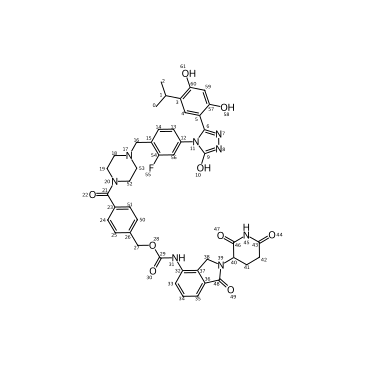 CC(C)c1cc(-c2nnc(O)n2-c2ccc(CN3CCN(C(=O)c4ccc(COC(=O)Nc5cccc6c5CN(C5CCC(=O)NC5=O)C6=O)cc4)CC3)c(F)c2)c(O)cc1O